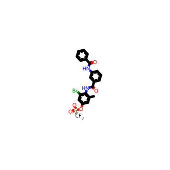 Cc1cc(OS(=O)(=O)C(F)(F)F)cc(Br)c1NC(=O)c1cccc(NC(=O)c2ccccc2)c1